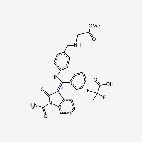 COC(=O)CNCc1ccc(N/C(=C2\C(=O)N(C(N)=O)c3ccccc32)c2ccccc2)cc1.O=C(O)C(F)(F)F